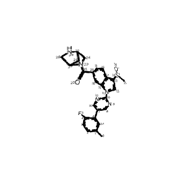 Cc1ccc(F)c(-c2cnc(-n3cc([S+](C)[O-])c4ccc(C(=O)N5CC6CC5CN6)cc43)nc2)c1